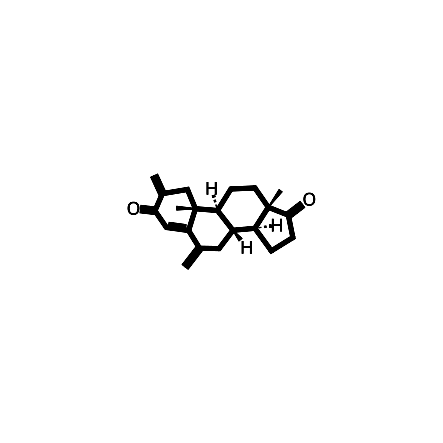 C=C1C[C@@]2(C)C(=CC1=O)C(=C)C[C@@H]1[C@@H]2CC[C@]2(C)C(=O)CC[C@@H]12